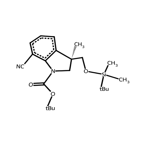 CC(C)(C)OC(=O)N1C[C@](C)(CO[Si](C)(C)C(C)(C)C)c2cccc(C#N)c21